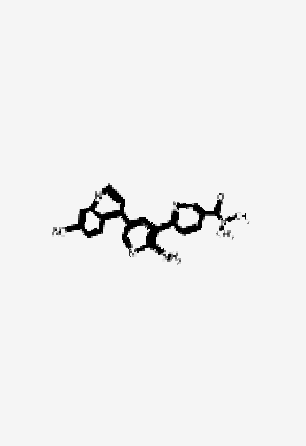 CN(C)C(=O)c1ccc(-c2cc(-c3ccnc4cc(C#N)ccc34)cnc2N)nc1